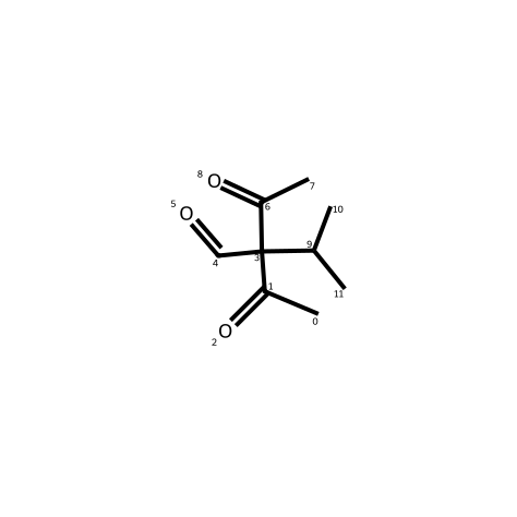 CC(=O)C(C=O)(C(C)=O)C(C)C